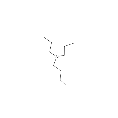 CCC[CH2][Al]([CH2]CC)[CH2]CCC